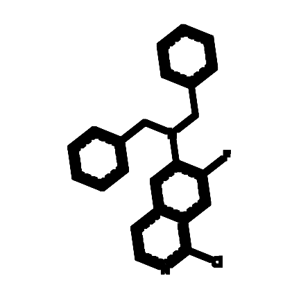 Fc1cc2c(Cl)nccc2cc1N(Cc1ccccc1)Cc1ccccc1